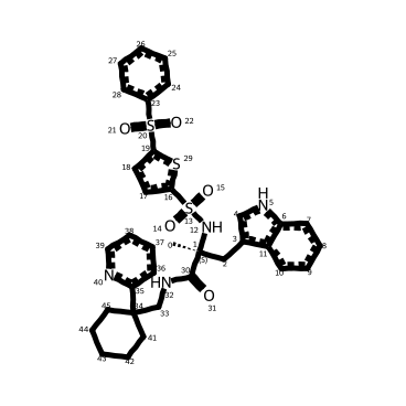 C[C@@](Cc1c[nH]c2ccccc12)(NS(=O)(=O)c1ccc(S(=O)(=O)c2ccccc2)s1)C(=O)NCC1(c2ccccn2)CCCCC1